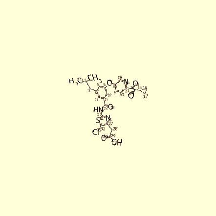 CC(C)Cc1cc(Oc2ccc(S(=O)(=O)C3CC3)nc2)cc(C(=O)Nc2nc(CC(=O)O)c(Cl)s2)c1